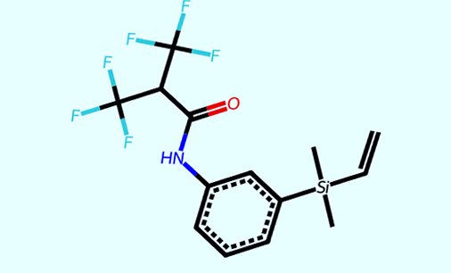 C=C[Si](C)(C)c1cccc(NC(=O)C(C(F)(F)F)C(F)(F)F)c1